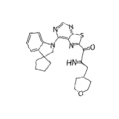 N=C(CC1CCOCC1)C(=O)c1nc2c(N3CC4(CCCC4)c4ccccc43)ncnc2s1